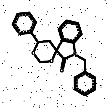 O=C1N(Cc2ccccc2)c2ccccc2C12CC(c1ccccn1)OCO2